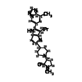 Cc1cc(-c2[nH]c3ccc(C4CCN(C5CCN(C)C5=O)CC4)nc3c2C(C)C)cn2ncnc12